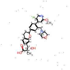 COc1cc(-c2ccc(C3CCc4ccc([C@H](O)[C@H](C)C(=O)O)cc4O3)cc2CN2CC3CC2CO3)c(F)cn1